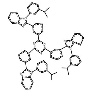 CC(C)c1cccc(-n2c(-c3cccc(-c4nc(-c5cccc(-c6nc7ccccc7n6-c6cccc(C(C)C)c6)c5)nc(-c5cccc(-c6nc7ccccc7n6-c6cccc(C(C)C)c6)c5)n4)c3)nc3ccccc32)c1